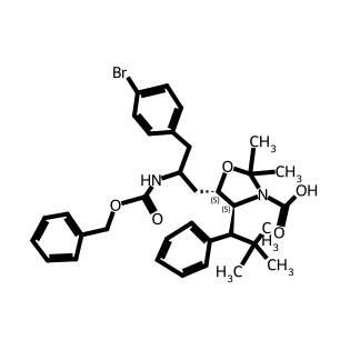 CC(C)(C)C(c1ccccc1)[C@H]1[C@H](CC(Cc2ccc(Br)cc2)NC(=O)OCc2ccccc2)OC(C)(C)N1C(=O)O